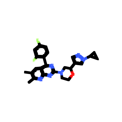 Cc1cc2c(-c3ccc(F)cc3F)nc(N3CCOC(c4cnn(C5CC5)c4)C3)nc2nc1C